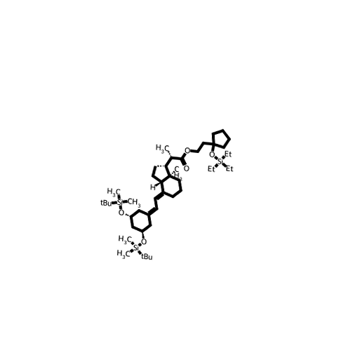 CC[Si](CC)(CC)OC1(CCOC(=O)[C@@H](C)[C@H]2CC[C@H]3/C(=C/C=C4C[C@@H](O[Si](C)(C)C(C)(C)C)C[C@H](O[Si](C)(C)C(C)(C)C)C4)CCC[C@]23C)CCCC1